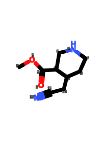 COC(=O)C1CNCCC1CC#N